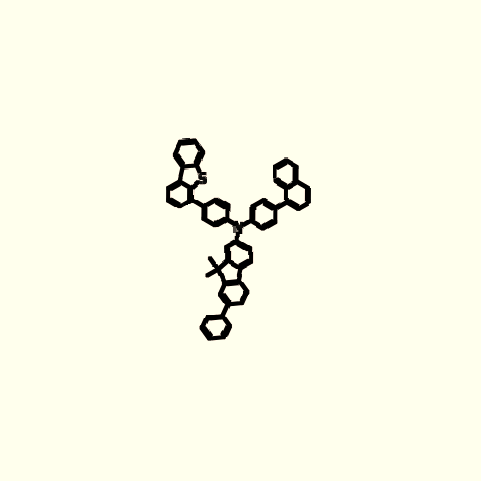 CC1(C)c2cc(-c3ccccc3)ccc2-c2ccc(N(c3ccc(-c4cccc5ccccc45)cc3)c3ccc(-c4cccc5c4sc4ccccc45)cc3)cc21